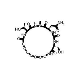 C[C@H](O)C1NC(=O)COCCOCCNC(=O)[C@@H](CO)NC(=O)N[C@H](CC(N)=O)C(=O)N(C)NC1=O